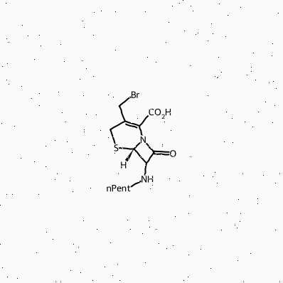 CCCCCNC1C(=O)N2C(C(=O)O)=C(CBr)CS[C@@H]12